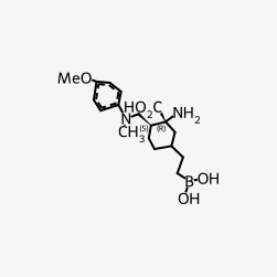 COc1ccc(N(C)C[C@@H]2CCC(CCB(O)O)C[C@]2(N)C(=O)O)cc1